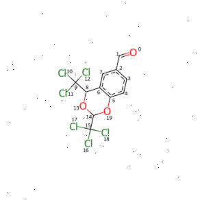 O=Cc1ccc2c(c1)C(C(Cl)(Cl)Cl)OC(C(Cl)(Cl)Cl)O2